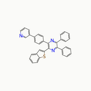 c1ccc(-c2nc(-c3ccc(-c4cccnc4)cc3)c(-c3cc4ccccc4s3)nc2-c2ccccc2)cc1